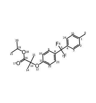 Cc1ccc(C(F)(F)c2ccc(OC(C)(C)C(=O)OC(C)C)cc2)cc1